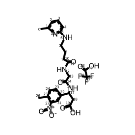 Cc1cccc(NCCCC(=O)NCC(=O)NC(CC(=O)O)c2ccc(C)c([N+](=O)[O-])c2)n1.O=C(O)C(F)(F)F